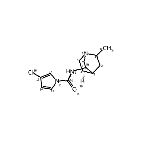 CC1CC2CCN1C[C@@H]2NC(=O)n1ccc(Cl)c1